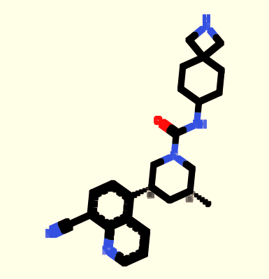 C[C@@H]1C[C@H](c2ccc(C#N)c3ncccc23)CN(C(=O)NC2CCC3(CC2)CNC3)C1